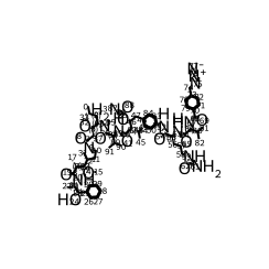 CC[C@H](C)[C@@H]([C@@H](CC(=O)N1CCC([C@H](OC)[C@@H](C)C(=O)N[C@H](C)[C@@H](O)c2ccccc2)C1)OC)N(C)C(=O)[C@@H](NC(=O)[C@@H](C(C)C)C(Cc1ccc(NC(=O)[C@H](CCCNC(N)=O)NC(=O)[C@@H](NC(=O)c2ccc(CN=[N+]=[N-])cc2)C(C)C)cc1)OC(N)=O)C(C)C